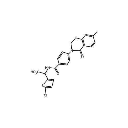 Cc1ccc2c(c1)OCN(c1ccc(C(=O)NC(C(=O)O)c3ccc(Cl)s3)cc1)C2=O